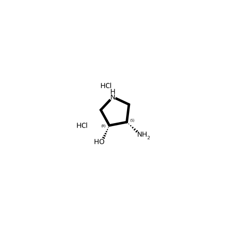 Cl.Cl.N[C@H]1CNC[C@H]1O